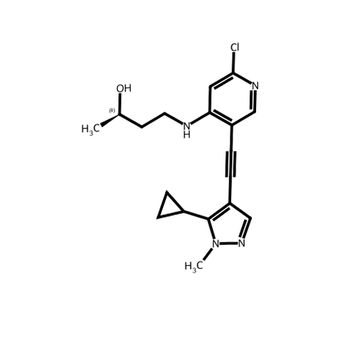 C[C@@H](O)CCNc1cc(Cl)ncc1C#Cc1cnn(C)c1C1CC1